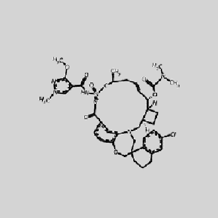 COc1nn(C)cc1C(=O)NS1(=O)=NC(=O)c2ccc3c(c2)N(C[C@@H]2CC[C@H]2[C@@H](OC(=O)N(C)C)/C=C/C[C@H](C)C1)C[C@@]1(CCCc2cc(Cl)ccc21)CO3